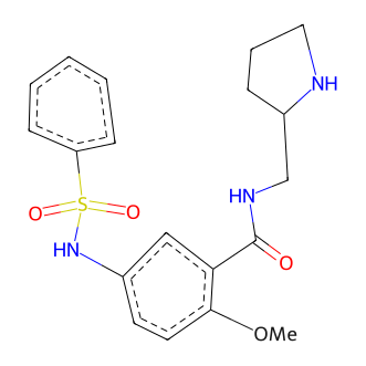 COc1ccc(NS(=O)(=O)c2ccccc2)cc1C(=O)NCC1CCCN1